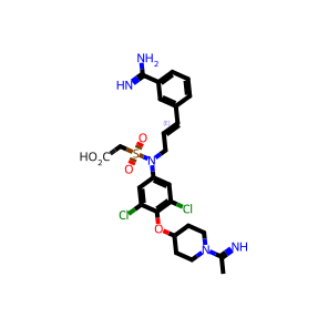 CC(=N)N1CCC(Oc2c(Cl)cc(N(C/C=C/c3cccc(C(=N)N)c3)S(=O)(=O)CC(=O)O)cc2Cl)CC1